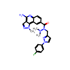 CN(C)N(Cc1ccn(-c2ccc(F)cc2)n1)C(=O)c1ccc2nc(N)c3cnn(C)c3c2c1